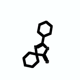 O=C1OC(C2CCCCC2)=NC12CCCCC2